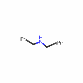 C[C](C)CNCC(C)C